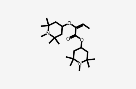 CC=C(OC1CC(C)(C)N(C)C(C)(C)C1)C(=O)OC1CC(C)(C)N(C)C(C)(C)C1